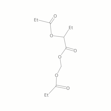 CCC(=O)OCOC(=O)C(CC)OC(=O)CC